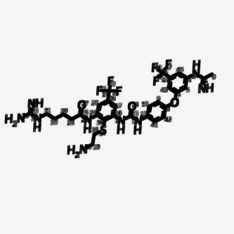 CC(=N)Nc1cc(Oc2ccc(NC(=O)Nc3cc(C(F)(F)F)cc(NC(=O)CCCCNC(=N)N)c3SCCN)cc2)cc(C(F)(F)F)c1